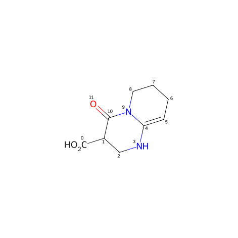 O=C(O)C1CNC2=CCCCN2C1=O